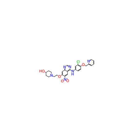 O=[N+]([O-])c1cc2c(Nc3ccc(OCc4ccccn4)c(Cl)c3)ncnc2cc1OCCN1CCC(O)CC1